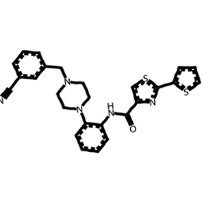 N#Cc1cccc(CN2CCN(c3ccccc3NC(=O)c3csc(-c4cccs4)n3)CC2)c1